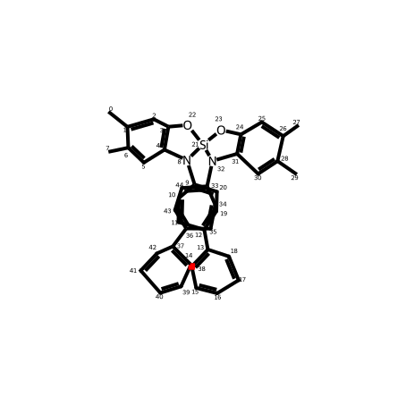 Cc1cc2c(cc1C)N(c1ccc(-c3ccccc3)cc1)[Si]1(O2)Oc2cc(C)c(C)cc2N1c1ccc(-c2ccccc2)cc1